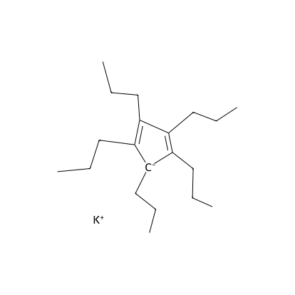 CCCc1c(CCC)c(CCC)[c-](CCC)c1CCC.[K+]